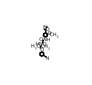 COc1cc(NC(=O)C(=O)NC(C)(C)COc2cccc(C#N)c2)ccc1-c1cnco1